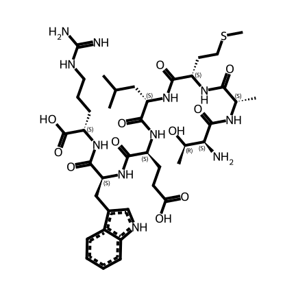 CSCC[C@H](NC(=O)[C@H](C)NC(=O)[C@@H](N)[C@@H](C)O)C(=O)N[C@@H](CC(C)C)C(=O)N[C@@H](CCC(=O)O)C(=O)N[C@@H](Cc1c[nH]c2ccccc12)C(=O)N[C@@H](CCCNC(=N)N)C(=O)O